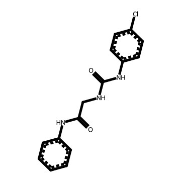 O=C(CNC(=O)Nc1ccc(Cl)cc1)Nc1ccccc1